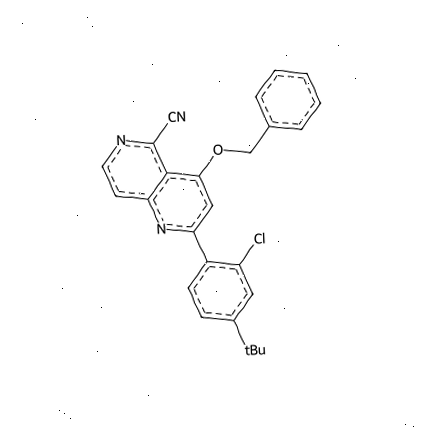 CC(C)(C)c1ccc(-c2cc(OCc3ccccc3)c3c(C#N)nccc3n2)c(Cl)c1